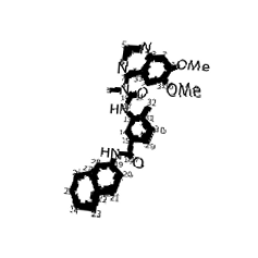 COc1cc2ncnc(N(C)C(=O)Nc3cc(C(=O)Nc4ccc5ccccc5c4)ccc3C)c2cc1OC